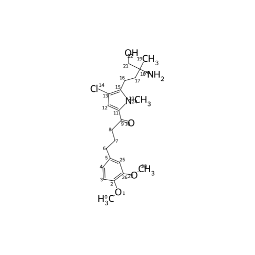 COc1ccc(CCCC(=O)c2cc(Cl)c(CCC(C)(N)CO)n2C)cc1OC